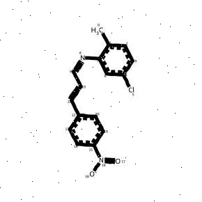 Cc1ccc(Cl)cc1/N=C\C=C\c1ccc([N+](=O)[O-])cc1